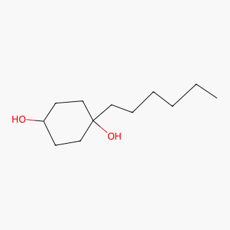 CCCCCCC1(O)CCC(O)CC1